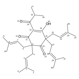 CC(C)=CCC1(CC=C(C)C)C(=O)C(C(=O)C(C)C)=C(O)C(CC=C(C)C)(CC=C(C)C)C1=O